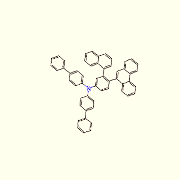 c1ccc(-c2ccc(N(c3ccc(-c4ccccc4)cc3)c3ccc(-c4cc5ccccc5c5ccccc45)c(-c4cccc5ccccc45)c3)cc2)cc1